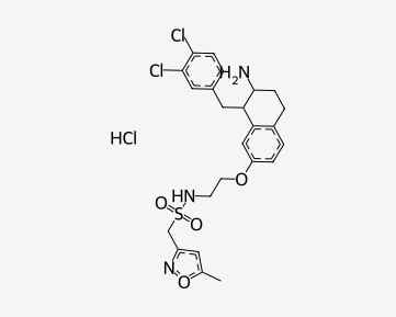 Cc1cc(CS(=O)(=O)NCCOc2ccc3c(c2)C(Cc2ccc(Cl)c(Cl)c2)C(N)CC3)no1.Cl